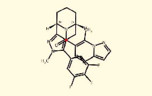 Cc1c(C(=O)N2[C@@H]3CCC[C@H]2c2nn(C)c(-c4cc(F)c(F)c(F)c4)c2C3)cnc2ccnn12